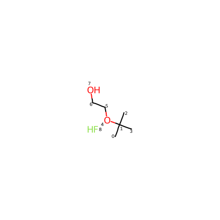 CC(C)(C)OCCO.F